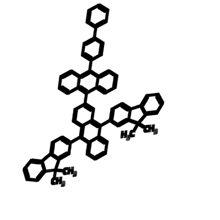 CC1(C)c2ccccc2-c2ccc(-c3c4ccccc4c(-c4ccc5c(c4)C(C)(C)c4ccccc4-5)c4cc(-c5c6ccccc6c(-c6ccc(-c7ccccc7)cc6)c6ccccc56)ccc34)cc21